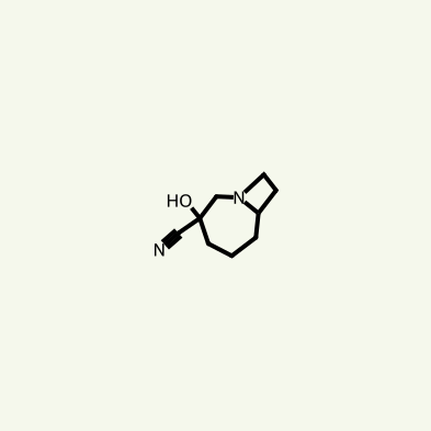 N#CC1(O)CCCC2CCN2C1